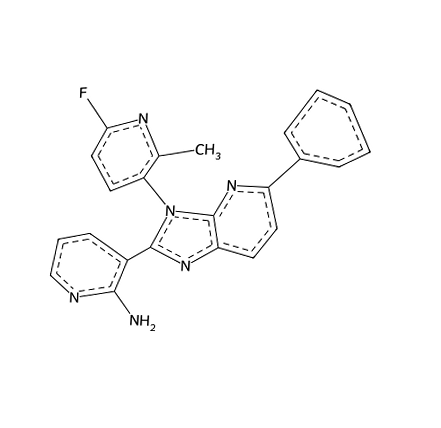 Cc1nc(F)ccc1-n1c(-c2cccnc2N)nc2ccc(-c3ccccc3)nc21